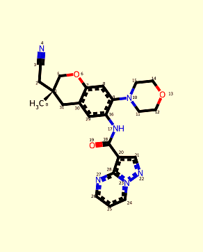 C[C@@]1(CC#N)COc2cc(N3CCOCC3)c(NC(=O)c3cnn4cccnc34)cc2C1